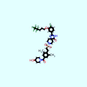 Cc1cc(C(=O)N2CCC(O)CC2)cc(C)c1C=CS(=O)(=O)N1CCC2(CC1)N=C(c1ccc(F)c(OCCCC(F)(F)C(F)(F)F)c1)NC2=O